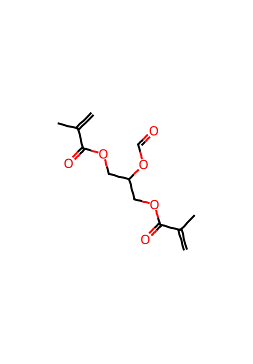 C=C(C)C(=O)OCC(COC(=O)C(=C)C)OC=O